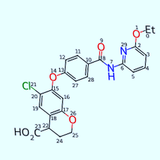 CCOc1cccc(NC(=O)c2ccc(Oc3cc4c(cc3Cl)C(C(=O)O)CCO4)cc2)n1